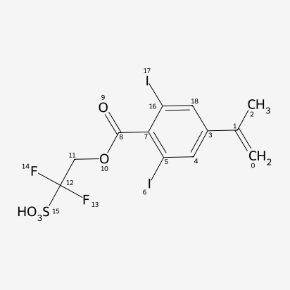 C=C(C)c1cc(I)c(C(=O)OCC(F)(F)S(=O)(=O)O)c(I)c1